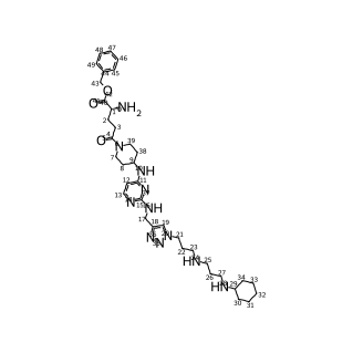 N[C@@H](CCC(=O)N1CCC(Nc2ccnc(NCc3cn(CCCNCCCNC4CCCCC4)nn3)n2)CC1)C(=O)OCc1ccccc1